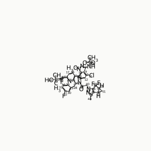 Cn1nc(NS(C)(=O)=O)c2c(Cl)ccc(-c3ccc(C#CC(C)(C)O)nc3[C@H](Cc3cc(F)cc(F)c3)NC(=O)Cn3nc(I)c4c3C(F)(F)[C@@H]3C[C@H]43)c21